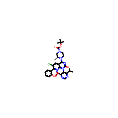 CC(C)c1ncnc(C(C)C)c1-n1c(=O)nc(N2CCN(C(=O)OC(C)(C)C)C[C@@H]2C)c2cc(Cl)c(-c3ccccc3O)[n+]([O-])c21